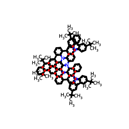 CC(C)(C)c1cc(-c2cc3c4c(c2)N(c2c(-c5cccc(-c6ccccc6)c5)cccc2-c2cccc(-c5ccccc5)c2)c2cc(-n5c6ccc(C(C)(C)C)cc6c6cc(C(C)(C)C)ccc65)ccc2N4c2ccc(-n4c5ccc(C(C)(C)C)cc5c5cc(C(C)(C)C)ccc54)cc2N3c2c(-c3cccc(-c4ccccc4)c3)cccc2-c2cccc(-c3ccccc3)c2)cc(C(C)(C)C)c1